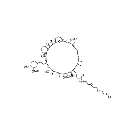 CCOCCOCCOCCNC(=O)CO/N=C1\[C@H](C)C[C@H](C)C(C)C/C=C/C=C(\C)[C@@H](OC)C[C@@H]2CC[C@@H](C)[C@@](O)(O2)C(=O)C(=O)N2CCCC[C@H]2C(=O)O[C@H](CC[C@@H]2CC[C@@H](O)[C@H](OC)C2)C[C@@H](O)[C@H](C)/C=C(\C)[C@@H](O)[C@H]1OC